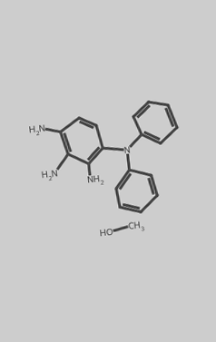 CO.Nc1ccc(N(c2ccccc2)c2ccccc2)c(N)c1N